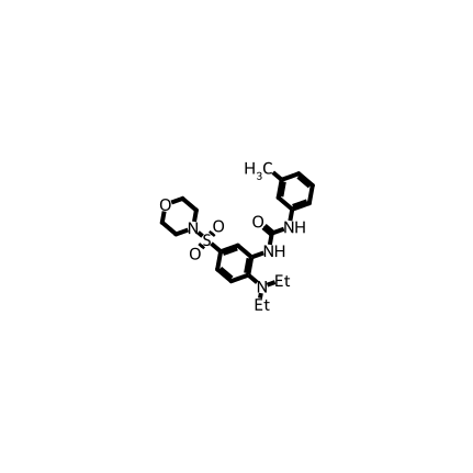 CCN(CC)c1ccc(S(=O)(=O)N2CCOCC2)cc1NC(=O)Nc1cccc(C)c1